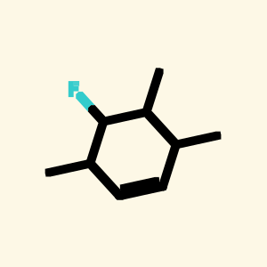 CC1C=CC(C)C(F)C1C